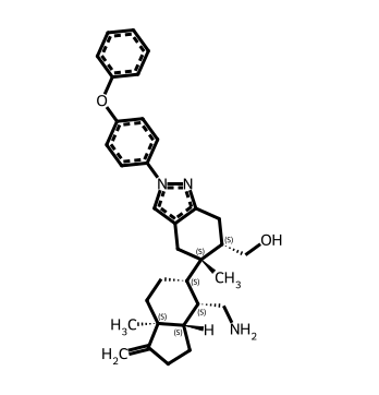 C=C1CC[C@H]2[C@@H](CN)[C@@H]([C@]3(C)Cc4cn(-c5ccc(Oc6ccccc6)cc5)nc4C[C@@H]3CO)CC[C@]12C